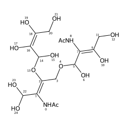 CC(=O)N/C(=C(\COC(O)/C(NC(C)=O)=C(\O)CO)OC(O)/C(O)=C(/O)CO)C(O)O